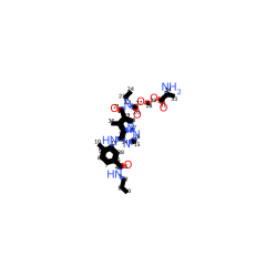 CCCNC(=O)c1ccc(C)c(Nc2ncnn3cc(C(=O)N(CC)C(=O)OCOC(=O)C(C)N)c(C)c23)c1